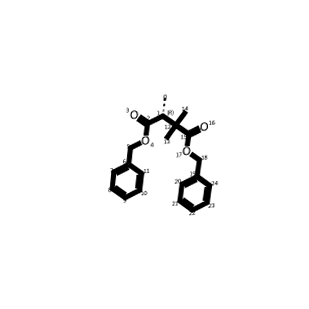 C[C@@H](C(=O)OCc1ccccc1)C(C)(C)C(=O)OCc1ccccc1